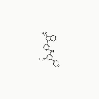 Cn1cc(-c2ccnc(Nc3cc(N)cc(N4CCOCC4)c3)n2)c2ccccc21